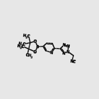 [C-]#[N+]Cn1nnc(-c2ccc(B3OC(C)(C)C(C)(C)O3)cn2)n1